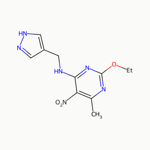 CCOc1nc(C)c([N+](=O)[O-])c(NCc2cn[nH]c2)n1